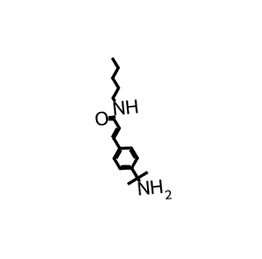 CCCCCNC(=O)/C=C/c1ccc(C(C)(C)N)cc1